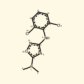 CN(C)c1nc(Nc2c(Cl)cccc2Cl)no1